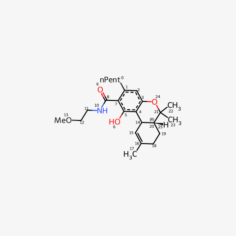 CCCCCc1cc2c(c(O)c1C(=O)NCCOC)C1C=C(C)CC[C@H]1C(C)(C)O2